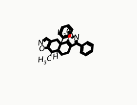 C[C@@H]1c2oncc2C[C@]2(c3ccccc3)c3c(c(-c4ccccc4)nn3C)CC[C@@H]12